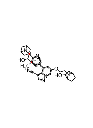 CC(C)(C)C(O)CN1C2CC1CN(c1ccc(-c3cc(OCCN4C5CCC4C(O)C5)cn4ncc(C#N)c34)cn1)C2